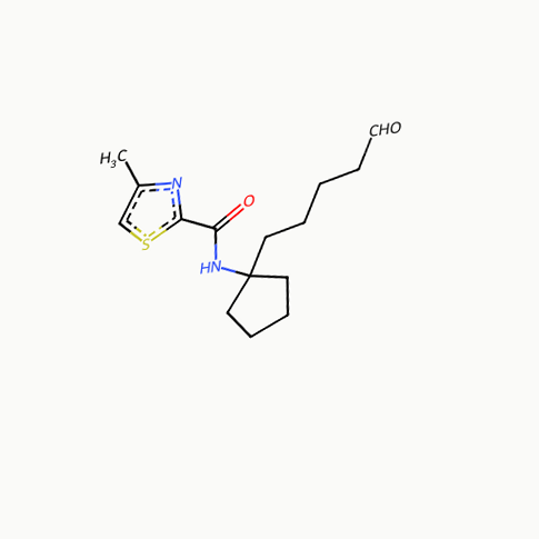 Cc1csc(C(=O)NC2(CCCCC=O)CCCC2)n1